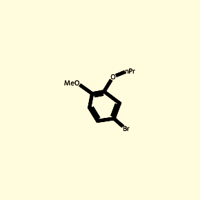 CCCOc1cc(Br)ccc1OC